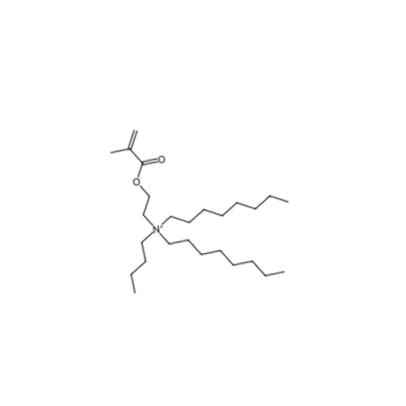 C=C(C)C(=O)OCC[N+](CCCC)(CCCCCCCC)CCCCCCCC